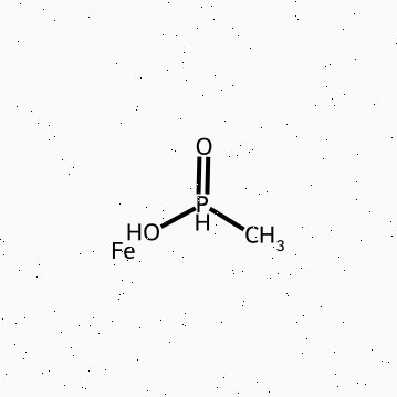 C[PH](=O)O.[Fe]